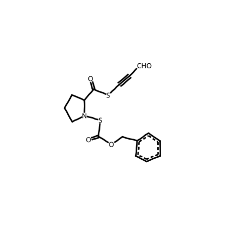 O=CC#CSC(=O)C1CCCN1SC(=O)OCc1ccccc1